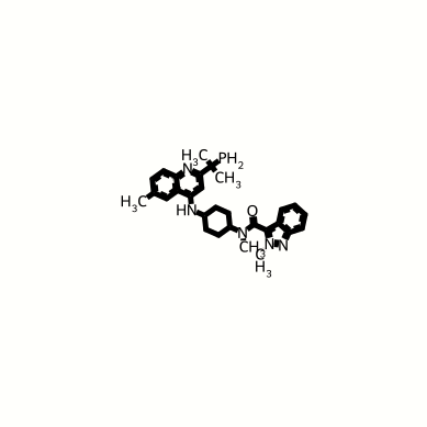 Cc1ccc2nc(C(C)(C)P)cc(NC3CCC(N(C)C(=O)c4c5ccccc5nn4C)CC3)c2c1